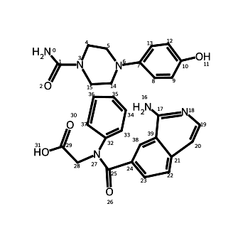 NC(=O)N1CCN(c2ccc(O)cc2)CC1.Nc1nccc2ccc(C(=O)N(CC(=O)O)c3ccccc3)cc12